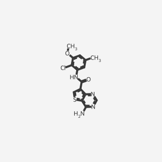 COc1cc(C)cc(NC(=O)c2csc3c(N)ncnc23)c1Cl